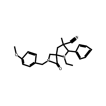 CCN1C(c2ccccc2)C(C)(C#N)CC12CN(Cc1ccc(OC)cc1)C2=O